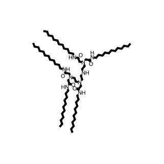 CCCCCCCCCCCCNC(=O)CN(CCNCCN(CC(=O)NCCCCCCCCCCCC)CC(=O)NCCCCCCCCCCCC)CCN(CC(=O)NCCCCCCCCCCCC)CC(=O)NCCCCCCCCCCCC